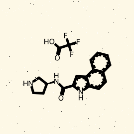 O=C(N[C@H]1CCNC1)c1cc2c(ccc3ccccc32)[nH]1.O=C(O)C(F)(F)F